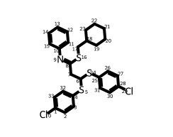 Clc1ccc(SC(CC(=Nc2ccccc2)SCC2CCCCC2)Sc2ccc(Cl)cc2)cc1